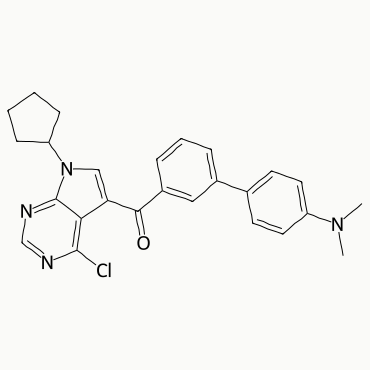 CN(C)c1ccc(-c2cccc(C(=O)c3cn(C4CCCC4)c4ncnc(Cl)c34)c2)cc1